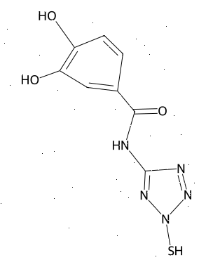 O=C(Nc1nnn(S)n1)c1ccc(O)c(O)c1